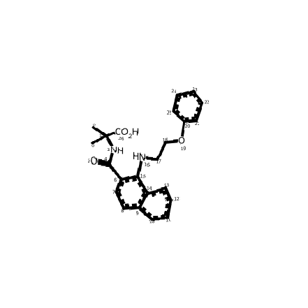 CC(C)(NC(=O)c1ccc2ccccc2c1NCCOc1ccccc1)C(=O)O